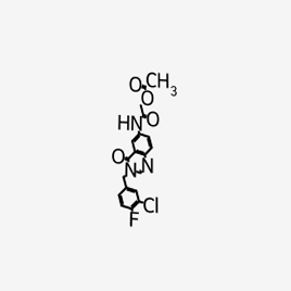 CC(=O)OCC(=O)Nc1ccc2ncn(Cc3ccc(F)c(Cl)c3)c(=O)c2c1